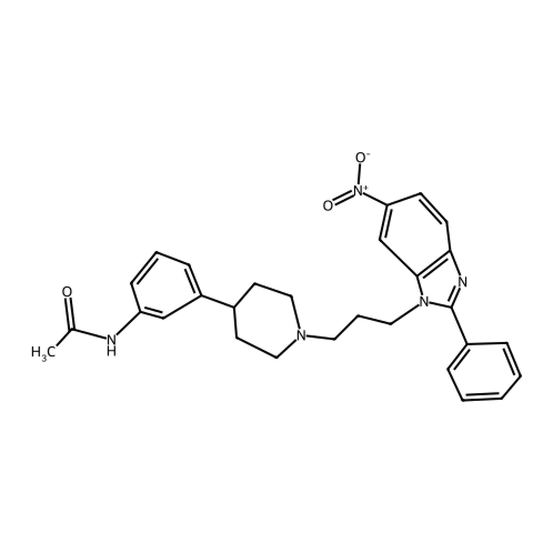 CC(=O)Nc1cccc(C2CCN(CCCn3c(-c4ccccc4)nc4ccc([N+](=O)[O-])cc43)CC2)c1